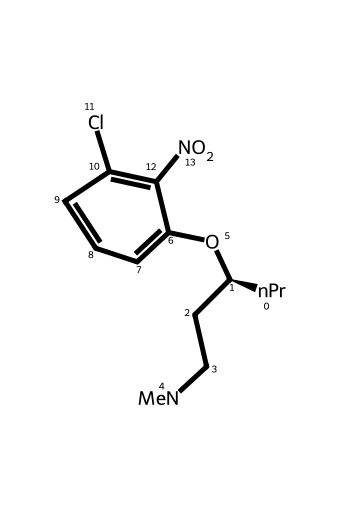 CCC[C@@H](CCNC)Oc1cccc(Cl)c1[N+](=O)[O-]